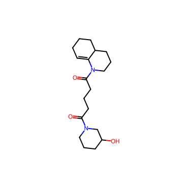 O=C(CCCC(=O)N1CCCC2CCCC=C21)N1CCCC(O)C1